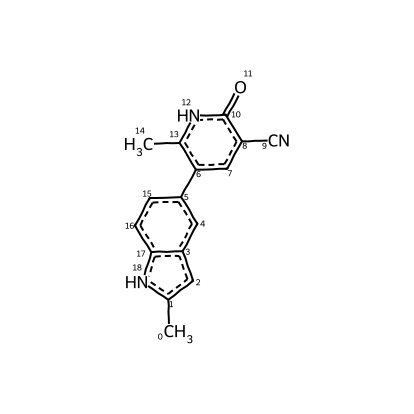 Cc1cc2cc(-c3cc(C#N)c(=O)[nH]c3C)ccc2[nH]1